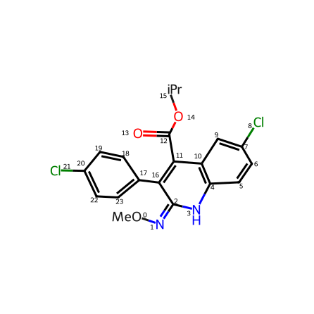 CON=c1[nH]c2ccc(Cl)cc2c(C(=O)OC(C)C)c1-c1ccc(Cl)cc1